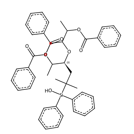 CC(OC(=O)c1ccccc1)C(COC(=O)c1ccccc1)O[C@@H](CC(C)(C)[Si](O)(c1ccccc1)c1ccccc1)C(C)OC(=O)c1ccccc1